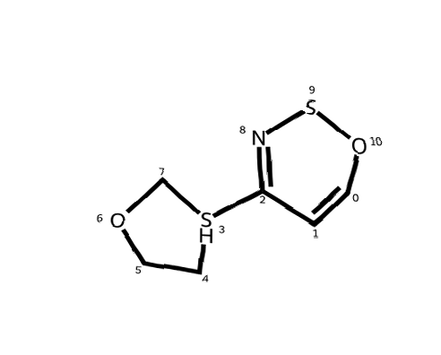 C1=CC([SH]2CCOC2)=NSO1